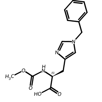 COC(=O)N[C@@H](Cc1cn(Cc2ccccc2)cn1)C(=O)O